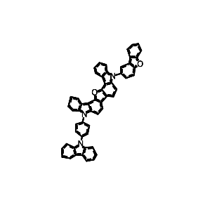 c1ccc2c(c1)oc1ccc(-n3c4ccccc4c4c5oc6c(ccc7c6c6ccccc6n7-c6ccc(-n7c8ccccc8c8ccccc87)cc6)c5ccc43)cc12